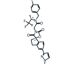 C[C@@H](N(Cc1ccc(F)cc1)C(=O)CN1C(=O)O[C@@]2(CCc3cc(-c4ccn(C)n4)ccc32)C1=O)C(F)(F)F